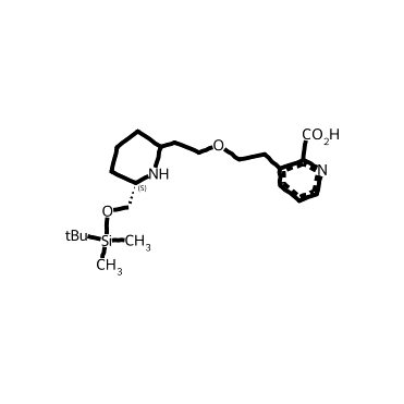 CC(C)(C)[Si](C)(C)OC[C@@H]1CCCC(CCOCCc2cccnc2C(=O)O)N1